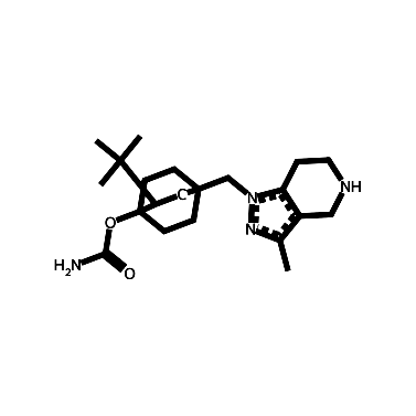 Cc1nn(CC23CCC(OC(N)=O)(CC2)C(C(C)(C)C)C3)c2c1CNCC2